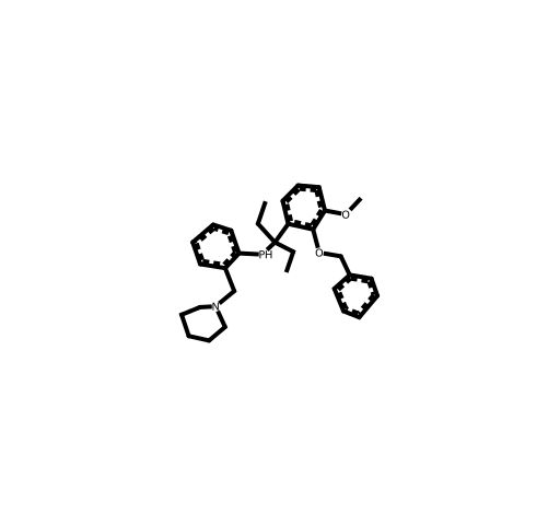 CCC(CC)(Pc1ccccc1CN1CCCCC1)c1cccc(OC)c1OCc1ccccc1